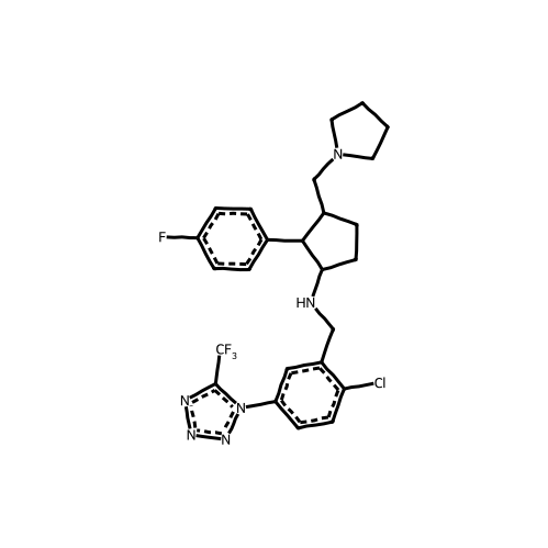 Fc1ccc(C2C(CN3CCCC3)CCC2NCc2cc(-n3nnnc3C(F)(F)F)ccc2Cl)cc1